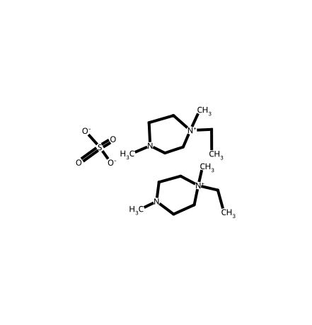 CC[N+]1(C)CCN(C)CC1.CC[N+]1(C)CCN(C)CC1.O=S(=O)([O-])[O-]